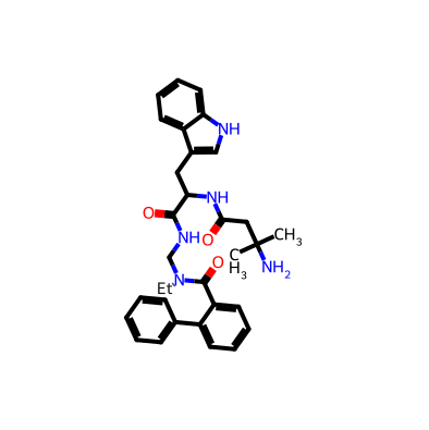 CCN(CNC(=O)C(Cc1c[nH]c2ccccc12)NC(=O)CC(C)(C)N)C(=O)c1ccccc1-c1ccccc1